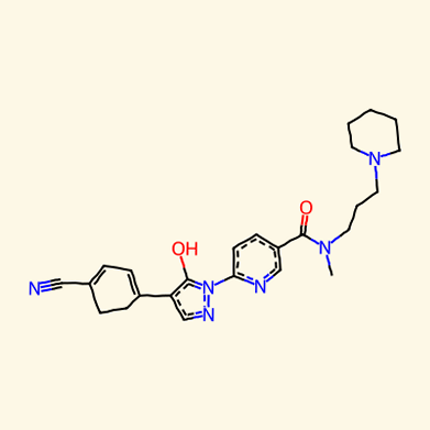 CN(CCCN1CCCCC1)C(=O)c1ccc(-n2ncc(C3=CC=C(C#N)CC3)c2O)nc1